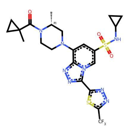 C[C@@H]1CN(c2cc(S(=O)(=O)NC3CC3)cn3c(-c4nnc(C(F)(F)F)s4)nnc23)CCN1C(=O)C1(C)CC1